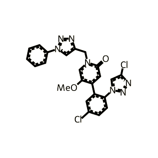 COc1cn(Cc2cn(-c3ccccc3)nn2)c(=O)cc1-c1cc(Cl)ccc1-n1cc(Cl)nn1